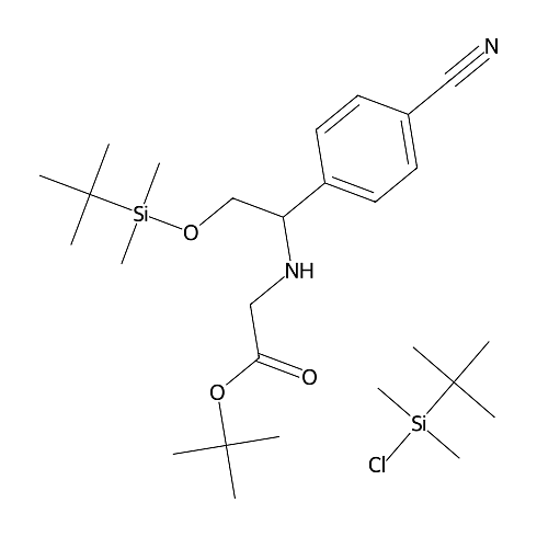 CC(C)(C)OC(=O)CNC(CO[Si](C)(C)C(C)(C)C)c1ccc(C#N)cc1.CC(C)(C)[Si](C)(C)Cl